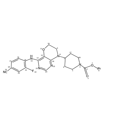 CC(C)OC(=O)N1CCC(N2CCOc3c(Nc4ccc(C#N)cc4F)ncnc32)CC1